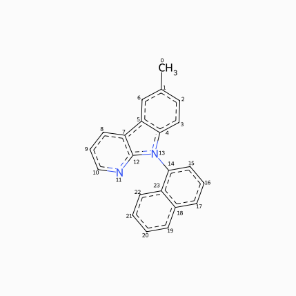 Cc1ccc2c(c1)c1cccnc1n2-c1cccc2ccccc12